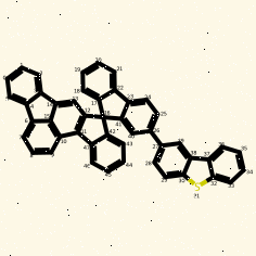 c1ccc2c(c1)-c1cccc3c4c(cc-2c13)C1(c2ccccc2-c2ccc(-c3ccc5sc6ccccc6c5c3)cc21)c1ccccc1-4